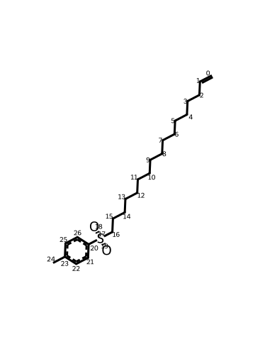 C=CCCCCCCCCCCCCCCCS(=O)(=O)c1ccc(C)cc1